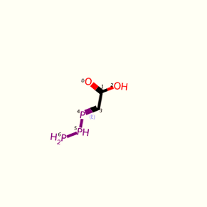 O=C(O)/C=P/PP